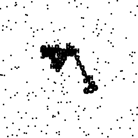 CCCCCON(C(=O)[C@@H](NC(=O)[C@H]1CCCCN1C)[C@@H](C)CC)[C@H](C[C@@H](OC(C)=O)c1nc(C(=O)N[C@@H](Cc2ccc(NC(=O)[C@H](CCCNC(N)=O)NC(=O)[C@@H](NC(=O)CCOCCOCCOCCOCCNC(=O)CCC(=O)N3Cc4ccccc4C#Cc4ccccc43)C(C)C)cc2)CC(C)(C)C(=O)O)cs1)C(C)C